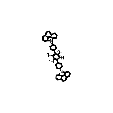 [2H]c1c([2H])c(-c2ccc(-n3c4cccc5ccc6cccc3c6c54)cc2)c([2H])c([2H])c1-c1ccc(-n2c3cccc4ccc5cccc2c5c43)cc1